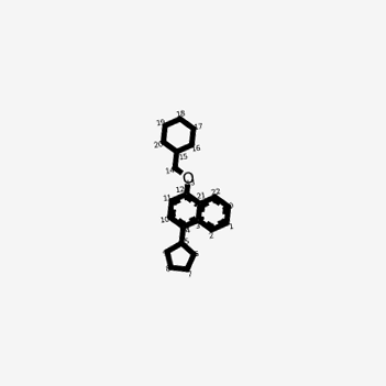 c1ccc2c(C3CCCC3)ccc(OCC3CCCCC3)c2c1